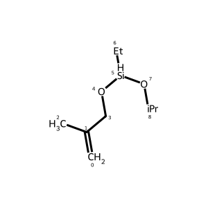 C=C(C)CO[SiH](CC)OC(C)C